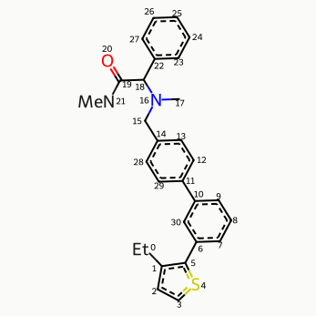 CCc1ccsc1-c1cccc(-c2ccc(CN(C)C(C(=O)NC)c3ccccc3)cc2)c1